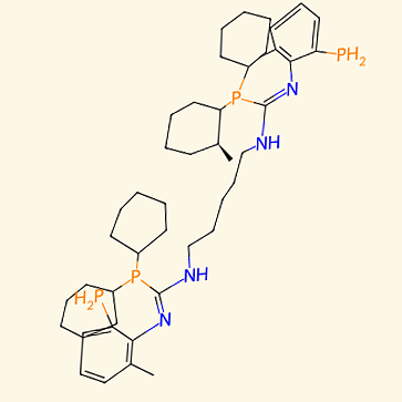 Cc1cccc(P)c1/N=C(/NCCCCCN/C(=N/c1c(C)cccc1P)P(C1CCCCC1)C1CCCC[C@@H]1C)P(C1CCCCC1)C1CCCCC1